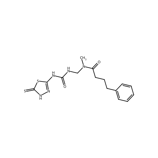 CN(CNC(=O)Nc1n[nH]c(=S)s1)C(=O)CCCc1ccccc1